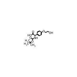 CC(C)(C)OC(=O)N[C@@H](C(=O)O)c1ccc(OCCO)cc1